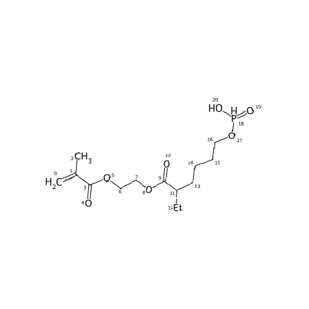 C=C(C)C(=O)OCCOC(=O)C(CC)CCCCO[PH](=O)O